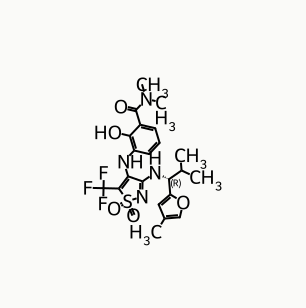 Cc1coc([C@H](NC2=NS(=O)(=O)C(C(F)(F)F)=C2Nc2cccc(C(=O)N(C)C)c2O)C(C)C)c1